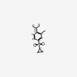 Cc1cc(S(=O)(=O)C2CC2)ccc1C(C)C